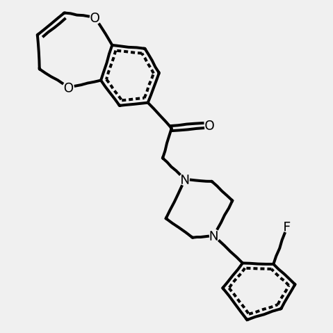 O=C(CN1CCN(c2ccccc2F)CC1)c1ccc2c(c1)OCC=CO2